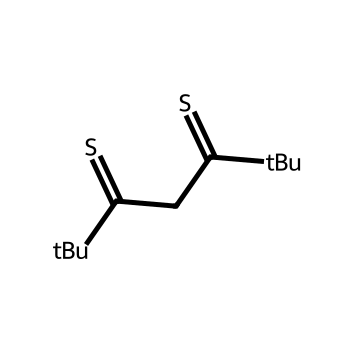 CC(C)(C)C(=S)CC(=S)C(C)(C)C